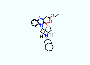 CCOC(=O)Cc1nc2ccccc2n([C@@H]2C[C@H]3N(C4CC5CCCCC(C5)C4)[C@@H]4CCCC432)c1=O